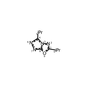 CC(C)c1nn2c(C(C)C)nnc2o1